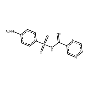 CC(=O)Nc1ccc(S(=O)(=O)NC(=N)c2cnccn2)cc1